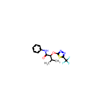 CC(C)C(Oc1nnc(C(F)(F)F)s1)C(=O)Nc1ccccc1